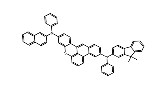 CC1(C)c2ccccc2-c2ccc(N(c3ccccc3)c3ccc4cc5c6c(cccc6c4c3)Sc3cc(N(c4ccccc4)c4ccc6ccccc6c4)ccc3-5)cc21